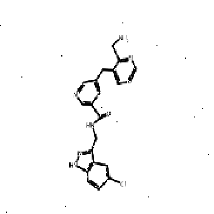 NCc1ncccc1Cc1cncc(C(=O)NCc2n[nH]c3ccc(Cl)cc23)c1